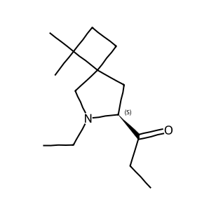 CCC(=O)[C@@H]1CC2(CCC2(C)C)CN1CC